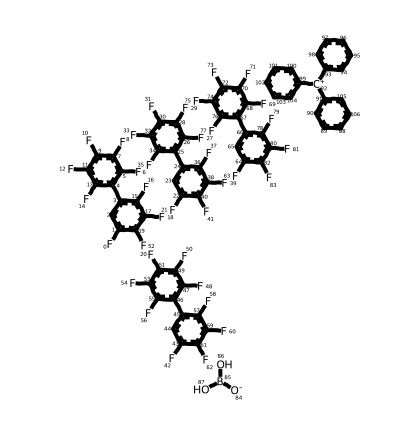 Fc1cc(-c2c(F)c(F)c(F)c(F)c2F)c(F)c(F)c1F.Fc1cc(-c2c(F)c(F)c(F)c(F)c2F)c(F)c(F)c1F.Fc1cc(-c2c(F)c(F)c(F)c(F)c2F)c(F)c(F)c1F.Fc1cc(-c2c(F)c(F)c(F)c(F)c2F)c(F)c(F)c1F.[O-]B(O)O.c1ccc([C+](c2ccccc2)c2ccccc2)cc1